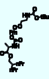 CCCC(CCC)COC(=O)C(C)N[PH](=O)[O][Fm][O]OCCNC(=O)OC(C)(C)C